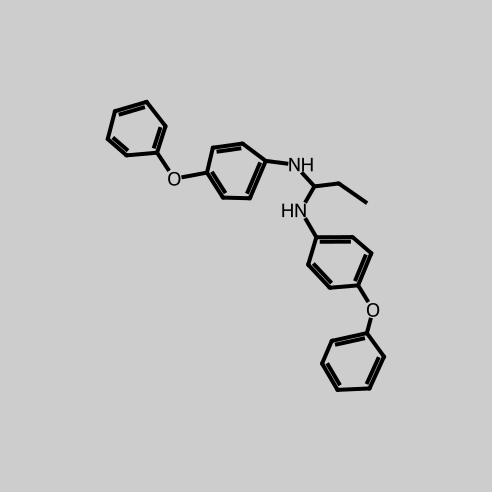 CCC(Nc1ccc(Oc2ccccc2)cc1)Nc1ccc(Oc2ccccc2)cc1